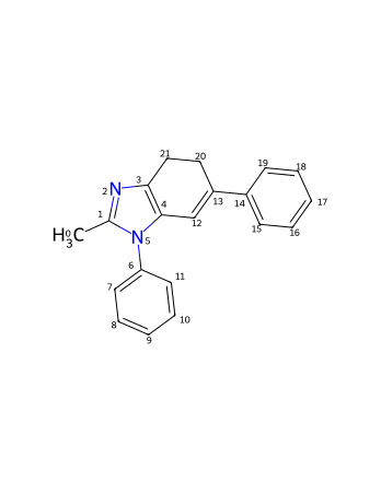 Cc1nc2c(n1-c1ccccc1)C=C(c1ccccc1)CC2